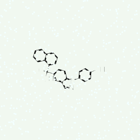 Cc1ccc(-n2ncc3cc(C(O)(c4cccc5ccccc45)C(F)(F)F)ccc32)cc1